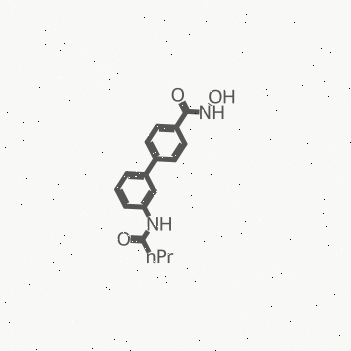 CCCC(=O)Nc1cccc(-c2ccc(C(=O)NO)cc2)c1